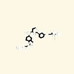 CC(C)NC(=O)COc1cccc(-c2nccc(Nc3ccc4c(cnn4C(=O)OC(C)(C)C)c3)n2)c1